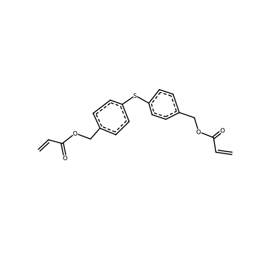 C=CC(=O)OCc1ccc(Sc2ccc(COC(=O)C=C)cc2)cc1